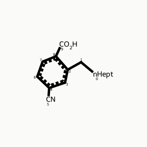 CCCCCCCCc1cc(C#N)ccc1C(=O)O